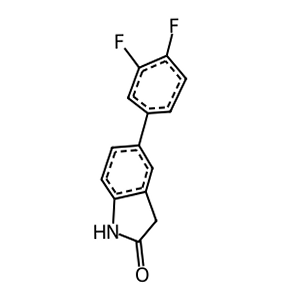 O=C1Cc2cc(-c3ccc(F)c(F)c3)ccc2N1